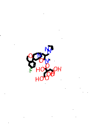 CN(C)C(=O)C(CN1C2CCC1CC1(C2)OCCc2cc(F)ccc21)Cn1cccn1.O=C(O)CC(O)(CC(=O)O)C(=O)O